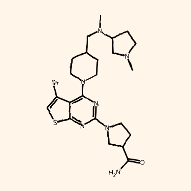 CC(C)c1csc2nc(N3CCC(C(N)=O)C3)nc(N3CCC(CN(C)C4CCN(C)C4)CC3)c12